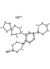 CCCN1CCN(c2ccc(N3CCOCC3)cc2C2CCC3(CCCC3)CC2)CC1.Cl